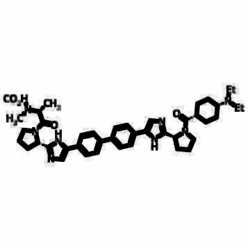 CCN(CC)[C@H]1CC[C@@H](C(=O)N2CCC[C@H]2c2ncc(-c3ccc(-c4ccc(-c5cnc([C@@H]6CCCN6C(=O)[C@H](C)N(C)C(=O)O)[nH]5)cc4)cc3)[nH]2)CC1